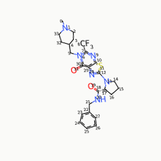 CN1CCC(Cn2c(C(F)(F)F)nc3sc(N4CCC[C@@H]4C(=O)NCc4ccccc4)nc3c2=O)CC1